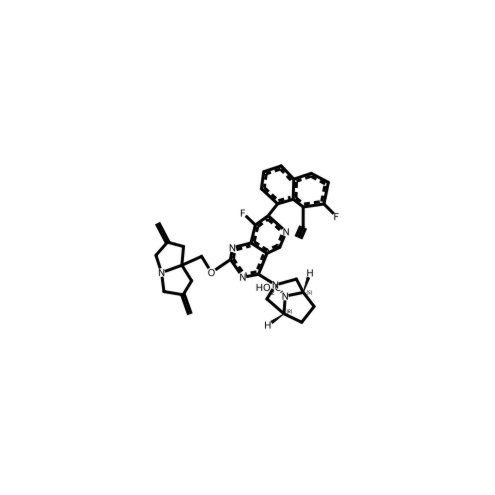 C#Cc1c(F)ccc2cccc(-c3ncc4c(N5C[C@H]6CC[C@@H](C5)N6C(=O)O)nc(OCC56CC(=C)CN5CC(=C)C6)nc4c3F)c12